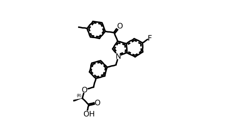 Cc1ccc(C(=O)c2cn(Cc3cccc(CO[C@H](C)C(=O)O)c3)c3ccc(F)cc23)cc1